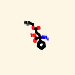 CCOC(=O)CCC(N)(C(=O)O)c1ccccc1